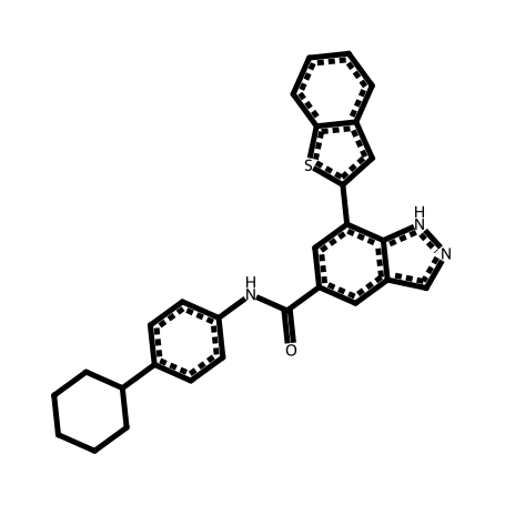 O=C(Nc1ccc(C2CCCCC2)cc1)c1cc(-c2cc3ccccc3s2)c2[nH]ncc2c1